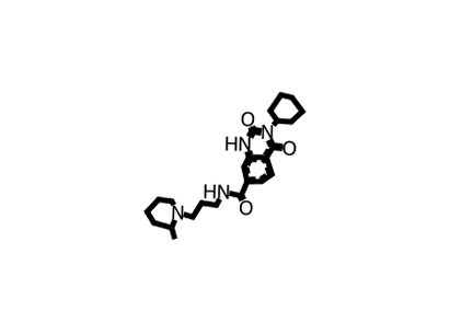 CC1CCCCN1CCCNC(=O)c1ccc2c(=O)n(C3CCCCC3)c(=O)[nH]c2c1